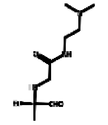 CC[C@](C)(C=O)NCC(=O)NCCN(C)C